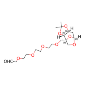 CC1(C)O[C@@H]2[C@@H](C[C@H]3OC[C@]2(COCCOCCOCCOCC=O)O3)O1